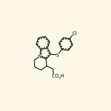 O=C(O)CC1CCCn2c1c(Sc1ccc(Cl)cc1)c1ccccc12